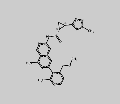 COCc1cccc(C)c1-c1cc2cc(NC(=O)[C@@H]3C[C@H]3c3cnn(C)c3)ncc2c(N)n1